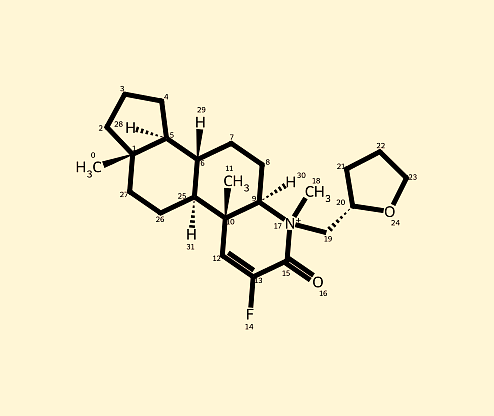 C[C@@]12CCC[C@H]1[C@@H]1CC[C@@H]3[C@](C)(C=C(F)C(=O)[N+]3(C)C[C@@H]3CCCO3)[C@H]1CC2